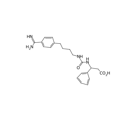 N=C(N)c1ccc(CCCCNC(=O)NC(CC(=O)O)c2ccccc2)cc1